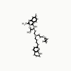 Cc1nc(N[C@@H](CCN(CCCCc2ccc3c(n2)NCCC3)CCOC2CC2(F)F)C(=O)O)c2ccc(F)cc2n1